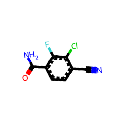 N#Cc1ccc(C(N)=O)c(F)c1Cl